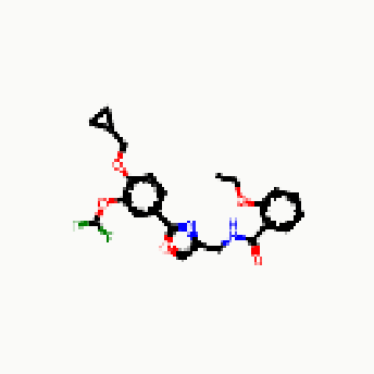 CCOc1ccccc1C(=O)NCc1coc(-c2ccc(OCC3CC3)c(OC(F)F)c2)n1